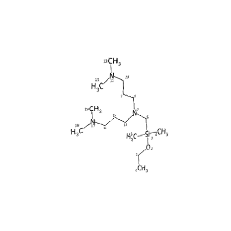 CCO[Si](C)(C)CN(CCCN(C)C)CCCN(C)C